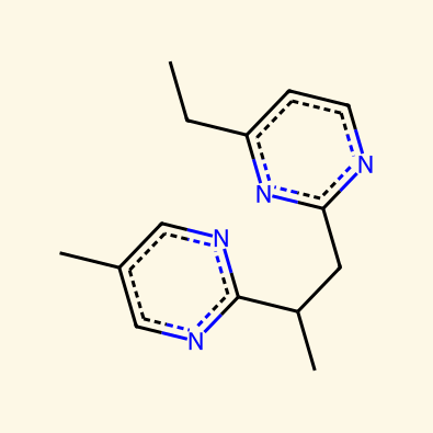 CCc1ccnc(CC(C)c2ncc(C)cn2)n1